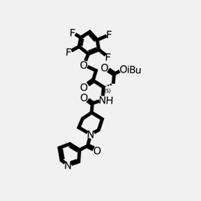 CC(C)COC(=O)C[C@H](NC(=O)C1CCN(C(=O)c2cccnc2)CC1)C(=O)COc1c(F)c(F)cc(F)c1F